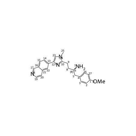 COc1ccc(C[C@H](N)CCc2nc(-c3ccc4cnccc4c3)cn2C)cc1